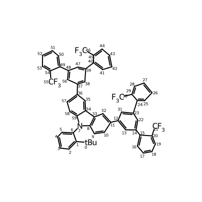 CC(C)(C)c1ccccc1-n1c2ccc(-c3cc(-c4ccccc4C(F)(F)F)cc(-c4ccccc4C(F)(F)F)c3)cc2c2cc(-c3cc(-c4ccccc4C(F)(F)F)cc(-c4ccccc4C(F)(F)F)c3)ccc21